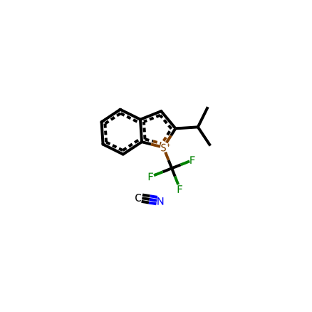 CC(C)c1cc2ccccc2[s+]1C(F)(F)F.[C-]#N